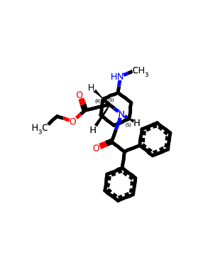 CCOC(=O)[C@@H]1[C@@H]2CC[C@@H](CC2NC)N1C(=O)C(c1ccccc1)c1ccccc1